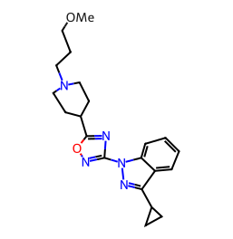 COCCCN1CCC(c2nc(-n3nc(C4CC4)c4ccccc43)no2)CC1